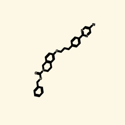 CCc1cnc(-c2ccc(CCCOc3ccc4c(c3)CCN(C(=O)OCc3ccccc3)C4)cc2)nc1